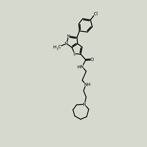 Cn1nc(-c2ccc(Cl)cc2)c2cc(C(=O)NCCNCCN3CCCCCC3)sc21